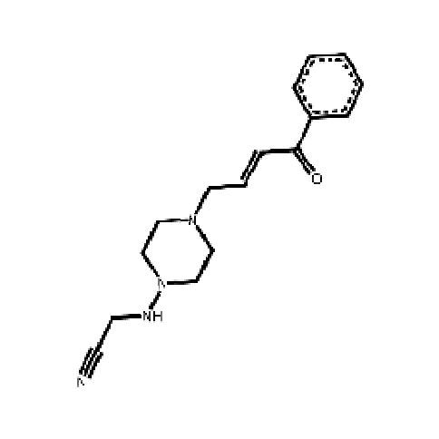 N#CCNN1CCN(CC=CC(=O)c2ccccc2)CC1